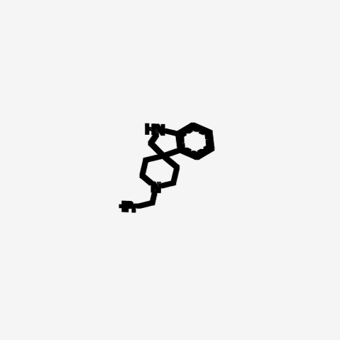 C[C](C)CN1CCC2(CC1)CNc1ccccc12